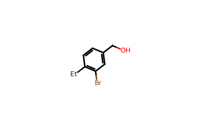 CCc1ccc([CH]O)cc1Br